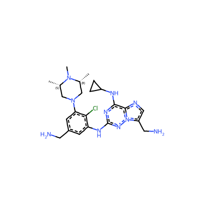 C[C@@H]1CN(c2cc(CN)cc(Nc3nc(NC4CC4)c4ncc(CN)n4n3)c2Cl)C[C@H](C)N1C